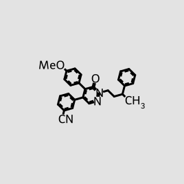 COc1ccc(-c2c(-c3cccc(C#N)c3)cnn(CCC(C)c3ccccc3)c2=O)cc1